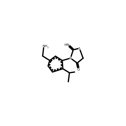 CC(C)c1ccc(CN)cc1N1C(=N)SCC1=O